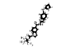 CC(C)(C)OC(=O)N1CCc2cc(C(=O)Nc3nc4ccc([I+]c5cccs5)cc4s3)ccc21